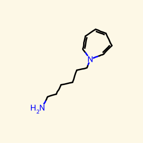 NCCCCCCN1C=CC=CC=C1